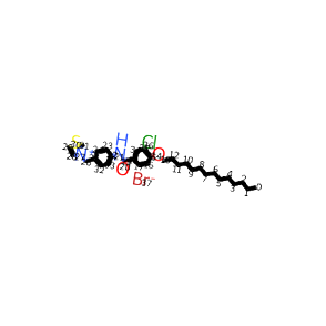 CCCCCCCCCCCCCCOc1ccc(C(=O)Nc2ccc(C[n+]3ccsc3)cc2)cc1Cl.[Br-]